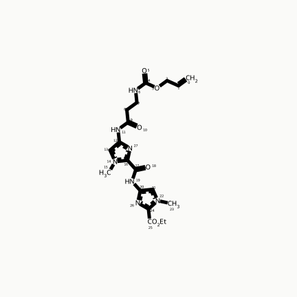 C=CCOC(=O)NCCC(=O)Nc1cn(C)c(C(=O)Nc2cn(C)c(C(=O)OCC)n2)n1